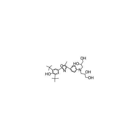 Cc1oc(-c2cc(C(C)(C)C)c(O)c(C(C)(C)C)c2)nc1-c1ccc(N(CC(O)CO)CC(O)CO)cc1